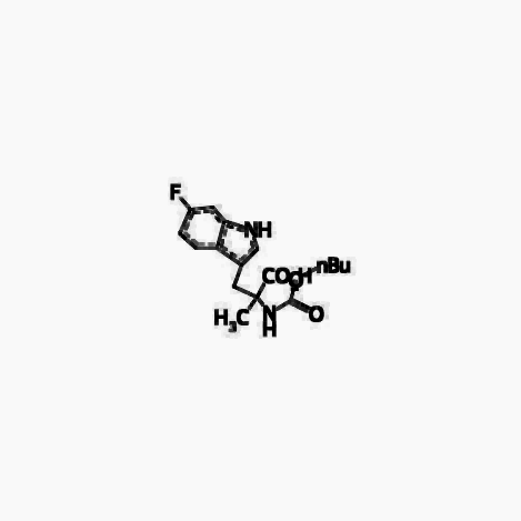 CCCCOC(=O)NC(C)(Cc1c[nH]c2cc(F)ccc12)C(=O)O